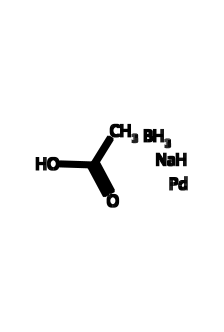 B.CC(=O)O.[NaH].[Pd]